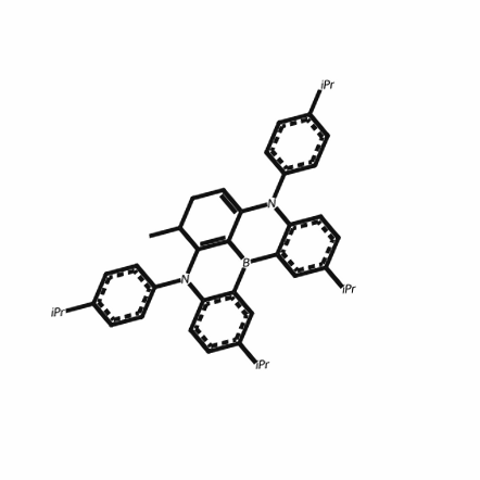 CC1CC=C2C3=C1N(c1ccc(C(C)C)cc1)c1ccc(C(C)C)cc1B3c1cc(C(C)C)ccc1N2c1ccc(C(C)C)cc1